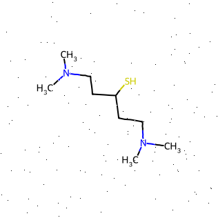 CN(C)CCC(S)CCN(C)C